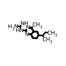 CCC(C)c1ccc2nc(NC(=N)N)nc(C)c2c1